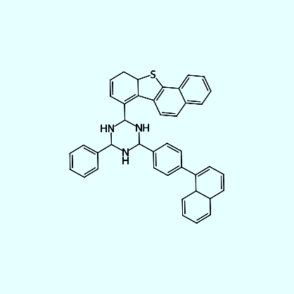 C1=CC2C=CC=C(c3ccc(C4NC(C5=C6c7ccc8ccccc8c7SC6CC=C5)NC(c5ccccc5)N4)cc3)C2C=C1